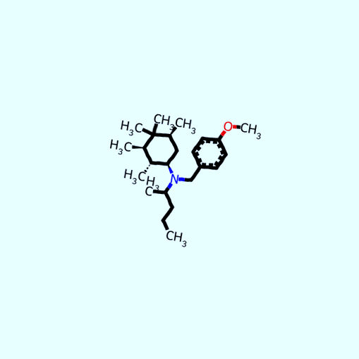 CCCC(C)N(Cc1ccc(OC)cc1)[C@@H]1C[C@H](C)C(C)(C)[C@H](C)[C@H]1C